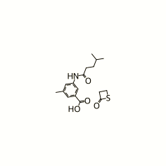 Cc1cc(NC(=O)CCC(C)C)cc(C(=O)O)c1.O=C1CCS1